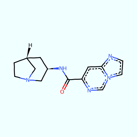 O=C(N[C@@H]1C[C@H]2CCN(C2)C1)c1cc2nccn2cn1